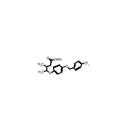 COC(=O)CC(C)C(C)Oc1ccc(OCc2ccc(C(F)(F)F)cc2)cc1